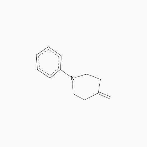 C=C1CCN(c2ccccc2)CC1